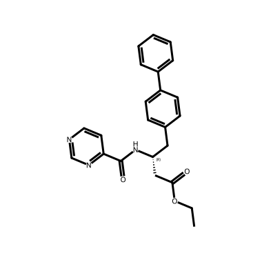 CCOC(=O)C[C@@H](Cc1ccc(-c2ccccc2)cc1)NC(=O)c1ccncn1